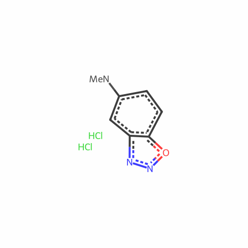 CNc1ccc2onnc2c1.Cl.Cl